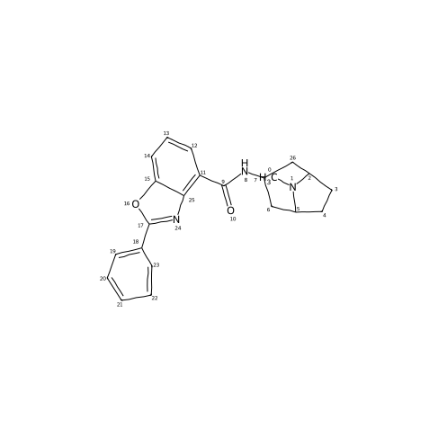 CN1C2CCC1CC(NC(=O)c1cccc3oc(-c4ccccc4)nc13)C2